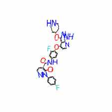 O=C(Nc1ccc(Oc2ccnc3[nH]nc(OC4CCNCC4)c23)c(F)c1)c1ccnn(-c2ccc(F)cc2)c1=O